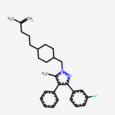 C=C(C)CCCC1CCC(Cn2nc(-c3cccc(F)c3)c(-c3ccccc3)c2C)CC1